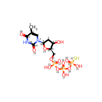 Cc1cn([C@H]2CC(O)[C@@H](COP(=O)(O)OP(=O)(O)OP(=O)(O)S)O2)c(=O)[nH]c1=O